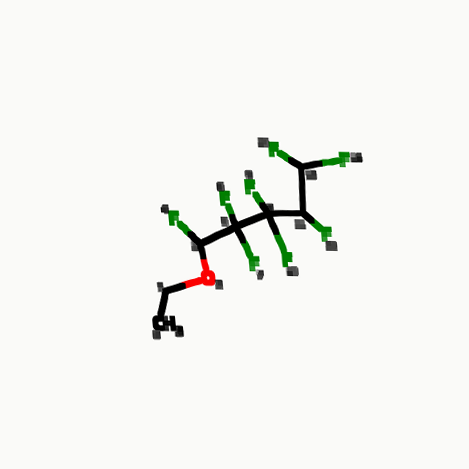 CCOC(F)C(F)(F)C(F)(F)C(F)C(F)F